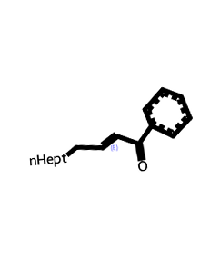 CCCCCCCC/C=C/C(=O)c1ccccc1